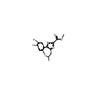 COC(=O)c1nc2c(s1)CC(C)Oc1cc(F)c(Br)cc1-2